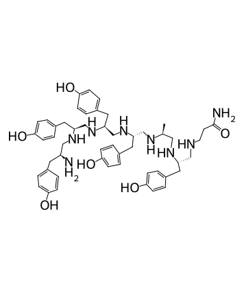 C[C@@H](CN[C@H](CNCCC(N)=O)Cc1ccc(O)cc1)NC[C@H](Cc1ccc(O)cc1)NC[C@H](Cc1ccc(O)cc1)NC[C@H](Cc1ccc(O)cc1)NC[C@@H](N)Cc1ccc(O)cc1